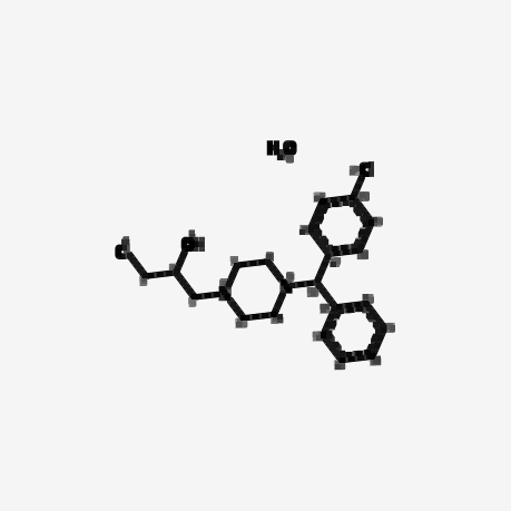 O.OC(CCl)CN1CCN(C(c2ccccc2)c2ccc(Cl)cc2)CC1